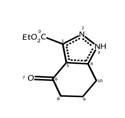 CCOC(=O)c1n[nH]c2c1C(=O)CCC2